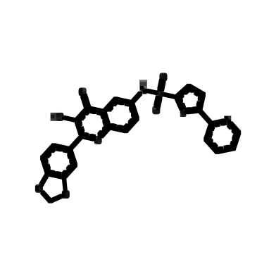 O=c1c(O)c(-c2ccc3c(c2)OCO3)oc2ccc(NS(=O)(=O)c3ccc(-c4ccccn4)s3)cc12